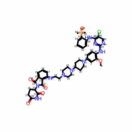 COc1cc(N2CCC(N3CCN(CCNc4cccc5c4C(=O)N(C4CCC(=O)NC4=O)C5=O)CC3)CC2)ccc1Nc1ncc(Cl)c(Nc2ccccc2P(C)(C)=O)n1